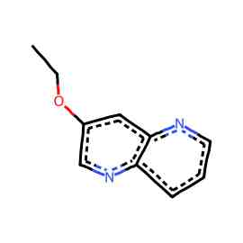 CCOc1cnc2cccnc2c1